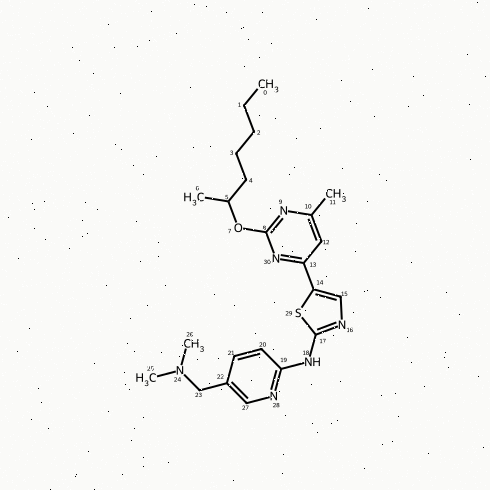 CCCCCC(C)Oc1nc(C)cc(-c2cnc(Nc3ccc(CN(C)C)cn3)s2)n1